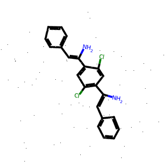 NC(=Cc1ccccc1)c1cc(Cl)c(C(N)=Cc2ccccc2)cc1Cl